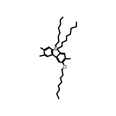 CCCCCCCCOc1cc2c(cc1C)[Si](CCCCCCCC)(CCCCCCCC)c1cc(C)c(C)cc1-2